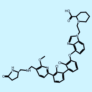 COc1nc(-c2cccc(-c3cccc(Oc4cccc5c4ncn5CCN4CCCCC4C(=O)O)c3Cl)c2Cl)ccc1CNC[C@H]1CCC(=O)N1